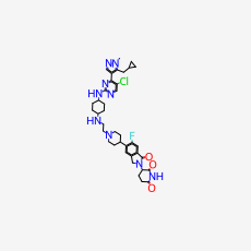 Cn1ncc(-c2nc(NC3CCC(NCCN4CCC(c5cc6c(cc5F)C(=O)N(C5CCC(=O)NC5=O)C6)CC4)CC3)ncc2Cl)c1CC1CC1